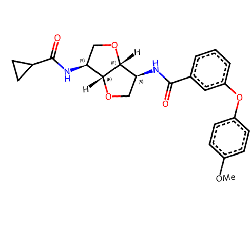 COc1ccc(Oc2cccc(C(=O)N[C@H]3CO[C@H]4[C@@H]3OC[C@@H]4NC(=O)C3CC3)c2)cc1